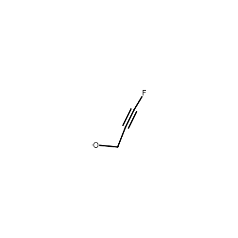 [O]CC#CF